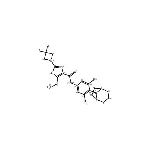 CC1(C)CN(c2nc(C(=O)Nc3cc(F)c(N4C5CCCC4CC5)c(F)c3)c(CC(F)(F)F)o2)C1